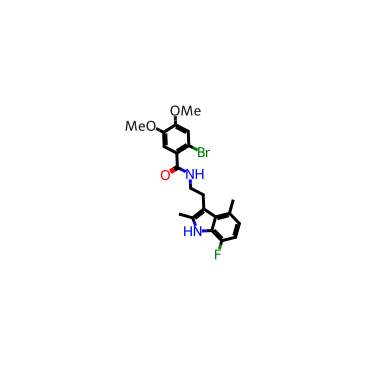 COc1cc(Br)c(C(=O)NCCc2c(C)[nH]c3c(F)ccc(C)c23)cc1OC